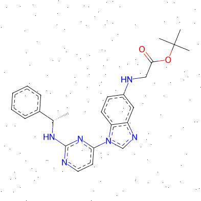 C[C@H](Nc1nccc(-n2cnc3cc(NCC(=O)OC(C)(C)C)ccc32)n1)c1ccccc1